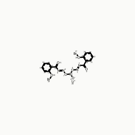 O=C(N=NOB([O-])ON=NC(=O)c1ccccc1OBr)c1ccccc1OBr.[Li+]